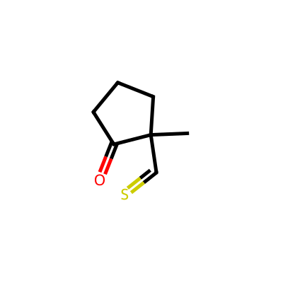 CC1(C=S)CCCC1=O